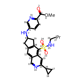 COC(=O)c1ccc(NC2Cc3cc4cnc(C5CC5)cc4c(S(=O)(=O)NCC(C)C)c3C2)cn1